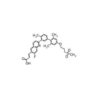 Cc1ccc(-c2c(C)cc(OCCCS(C)(=O)=O)cc2C)cc1-c1ccc2cc(/C=C/C(=O)O)c(F)cc2n1